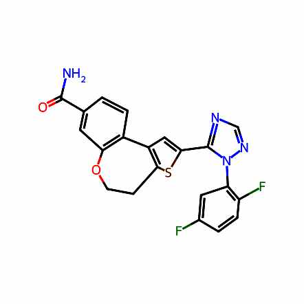 NC(=O)c1ccc2c(c1)OCCc1sc(-c3ncnn3-c3cc(F)ccc3F)cc1-2